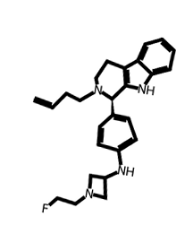 C=CCCN1CCc2c([nH]c3ccccc23)[C@H]1c1ccc(NC2CN(CCF)C2)cc1